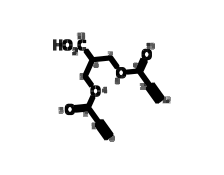 C#CC(=O)OCC(COC(=O)C#C)C(=O)O